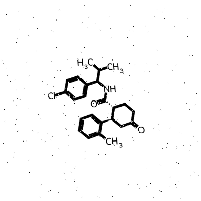 Cc1ccccc1[C@@H]1CC(=O)CC[C@H]1C(=O)NC(c1ccc(Cl)cc1)C(C)C